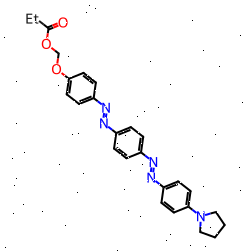 CCC(=O)OCOc1ccc(N=Nc2ccc(N=Nc3ccc(N4CCCC4)cc3)cc2)cc1